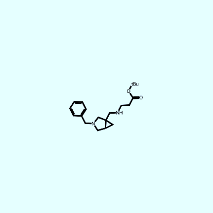 CC(C)(C)OC(=O)CCNCC12CC1CN(Cc1ccccc1)C2